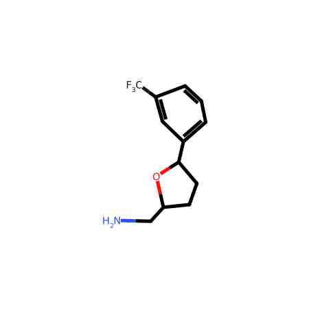 NCC1CCC(c2cccc(C(F)(F)F)c2)O1